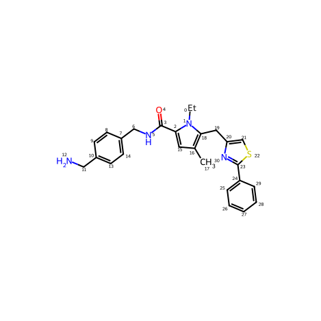 CCn1c(C(=O)NCc2ccc(CN)cc2)cc(C)c1Cc1csc(-c2ccccc2)n1